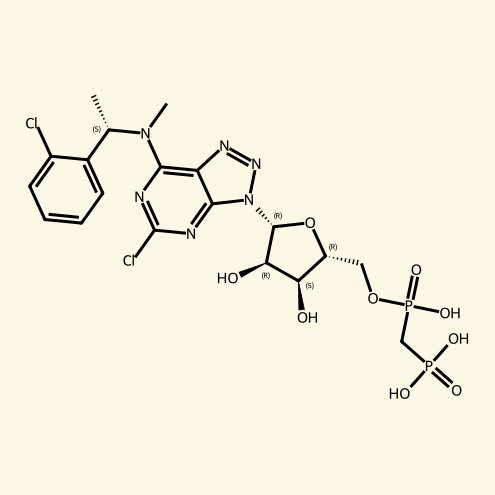 C[C@@H](c1ccccc1Cl)N(C)c1nc(Cl)nc2c1nnn2[C@@H]1O[C@H](COP(=O)(O)CP(=O)(O)O)[C@@H](O)[C@H]1O